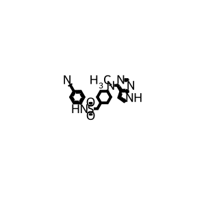 CN(c1ncnc2[nH]ccc12)C1CCC(CS(=O)(=O)Nc2ccc(C#N)cc2)CC1